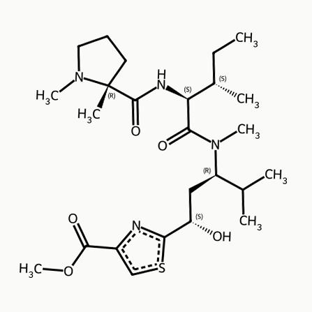 CC[C@H](C)[C@H](NC(=O)[C@@]1(C)CCCN1C)C(=O)N(C)[C@H](C[C@H](O)c1nc(C(=O)OC)cs1)C(C)C